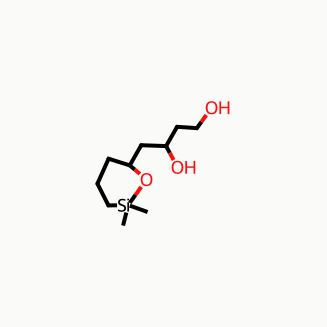 C[Si]1(C)CCCC(CC(O)CCO)O1